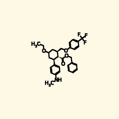 CCO[C@H]1C[C@@H](COc2ccc(C(F)(F)F)cc2)[C@H](C(=O)OCc2ccccc2)[C@@H](c2ccc(NC)cc2)C1